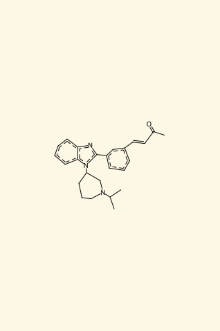 CC(=O)/C=C/c1cccc(-c2nc3ccccc3n2C2CCCN(C(C)C)C2)c1